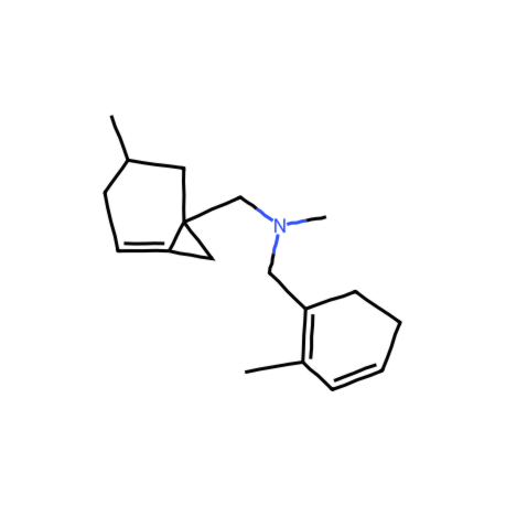 CC1=C(CN(C)CC23CC2=CCC(C)C3)CCC=C1